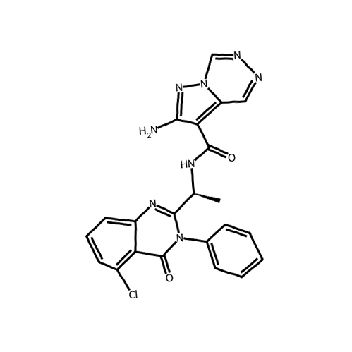 C[C@H](NC(=O)c1c(N)nn2cnncc12)c1nc2cccc(Cl)c2c(=O)n1-c1ccccc1